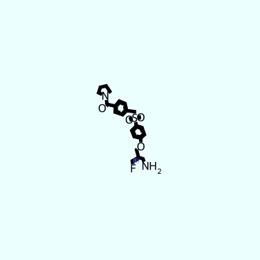 NC/C(=C\F)COc1ccc(S(=O)(=O)Cc2ccc(C(=O)N3CCCC3)cc2)cc1